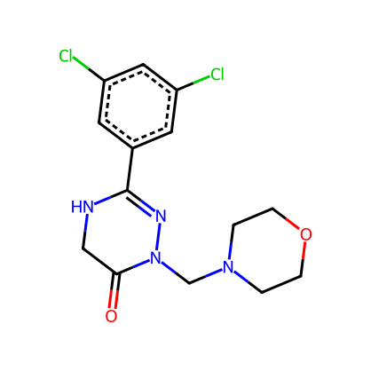 O=C1CNC(c2cc(Cl)cc(Cl)c2)=NN1CN1CCOCC1